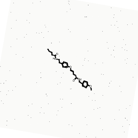 CCCCC(=O)NCCc1ccc(OCCCCC(=O)NCc2ccc(OC)cc2)cc1